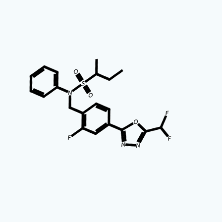 CCC(C)S(=O)(=O)N(Cc1ccc(-c2nnc(C(F)F)o2)cc1F)c1ccccc1